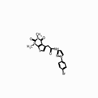 Cn1c(=O)c2c(CC(=O)Nc3ccn(-c4ccc(Br)cc4)n3)csc2n(C)c1=O